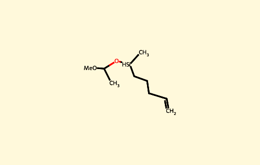 C=CCCC[SiH](C)OC(C)OC